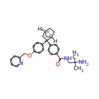 CC(C)(N)CNC(=O)c1ccc([C@@]2(c3ccc(OCc4ccccn4)cc3)C[C@@H]3CC[C@H]2C3)cc1